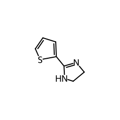 c1csc(C2=NCCN2)c1